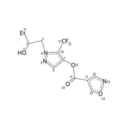 CCC(O)Cn1ncc(OC(=O)c2cnoc2)c1C(F)(F)F